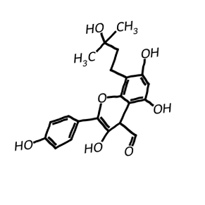 CC(C)(O)CCc1c(O)cc(O)c2c1OC(c1ccc(O)cc1)=C(O)C2C=O